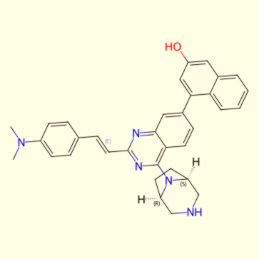 CN(C)c1ccc(/C=C/c2nc(N3[C@@H]4CC[C@H]3CNC4)c3ccc(-c4cc(O)cc5ccccc45)cc3n2)cc1